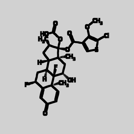 COc1c(C(=O)O[C@]2(OC(=O)O)[C@H](C)C[C@H]3[C@@H]4C[C@H](F)C5=CC(=O)C=C[C@]5(C)[C@@]4(F)[C@@H](O)C[C@@]32C)csc1Cl